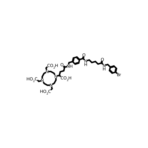 O=C(O)CN1CCN(CC(=O)O)CCN(C(CCC(=O)NCc2ccc(C(=O)NCCCCC(=O)NCc3ccc(Br)cc3)cc2)C(=O)O)CCN(CC(=O)O)CC1